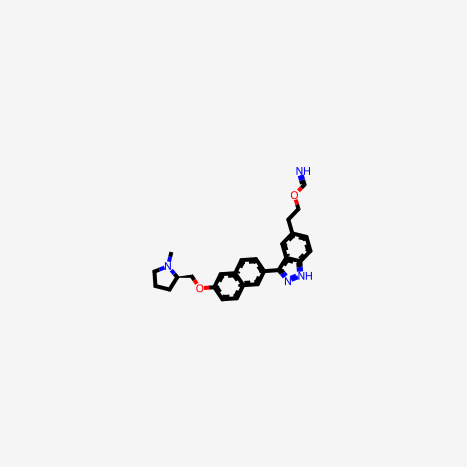 CN1CCC[C@@H]1COc1ccc2cc(-c3n[nH]c4ccc(CCOC=N)cc34)ccc2c1